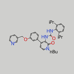 CCCCn1ccc(-c2cccc(OCc3cccnc3)c2)c(NC(=O)Nc2c(C(C)C)cccc2C(C)C)c1=O